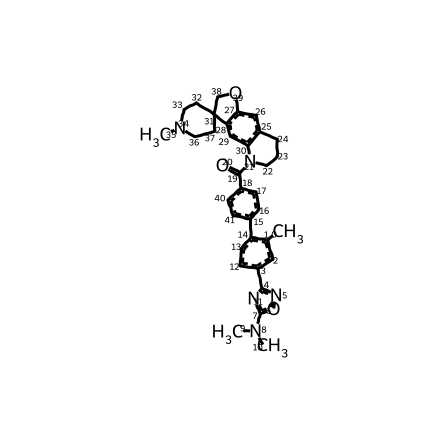 Cc1cc(-c2noc(N(C)C)n2)ccc1-c1ccc(C(=O)N2CCCc3cc4c(cc32)C2(CCN(C)CC2)CO4)cc1